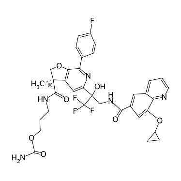 C[C@]1(C(=O)NCCCOC(N)=O)COc2c1cc(C(O)(CNC(=O)c1cc(OC3CC3)c3ncccc3c1)C(F)(F)F)nc2-c1ccc(F)cc1